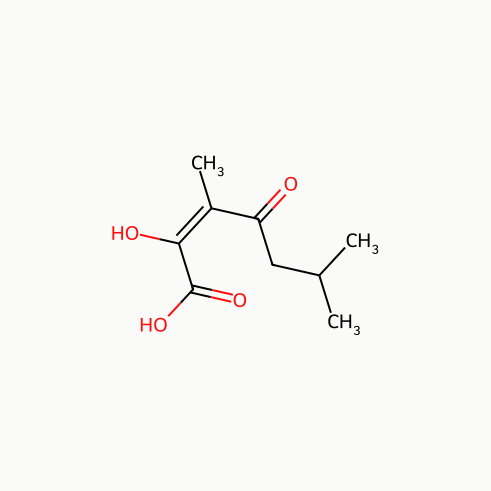 CC(C(=O)CC(C)C)=C(O)C(=O)O